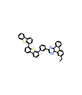 CCc1ccc2c3ccccc3c3nc(-c4cccc(-c5cccc6c5sc5c(-c7cccc8c7sc7ccccc78)cccc56)c4)cnc3c2c1